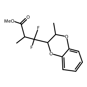 COC(=O)C(C)C(F)(F)C1Oc2ccccc2OC1C